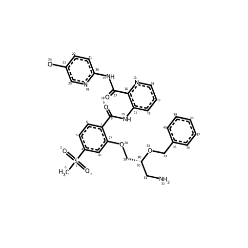 CS(=O)(=O)c1ccc(C(=O)Nc2cccnc2C(=O)Nc2ccc(Cl)cn2)c(OC[C@@H](CN)OCc2ccccc2)c1